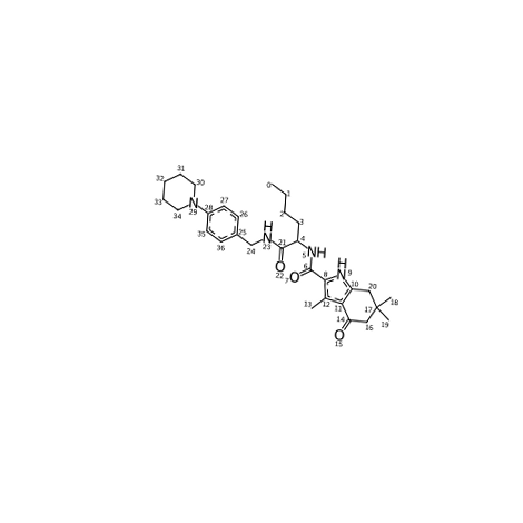 CCCCC(NC(=O)c1[nH]c2c(c1C)C(=O)CC(C)(C)C2)C(=O)NCc1ccc(N2CCCCC2)cc1